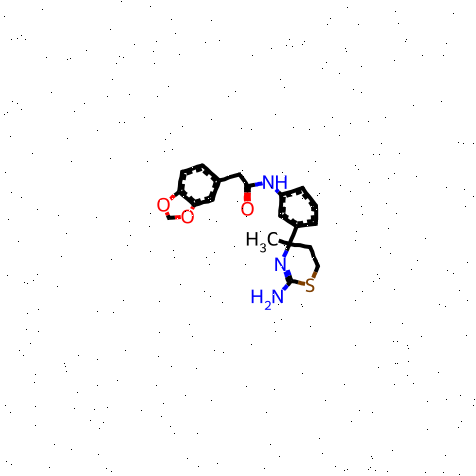 CC1(c2cccc(NC(=O)Cc3ccc4c(c3)OCO4)c2)CCSC(N)=N1